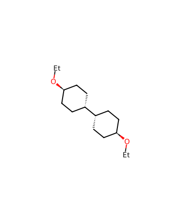 CCO[C@H]1CC[C@H]([C@H]2CC[C@H](OCC)CC2)CC1